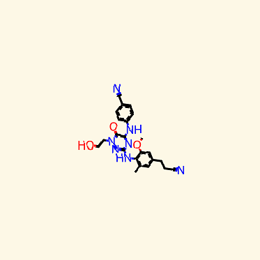 COc1cc(CCC#N)cc(C)c1Nc1nc(Nc2ccc(C#N)cc2)c(=O)n(CCO)n1